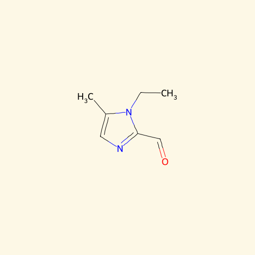 CCn1c(C)cnc1C=O